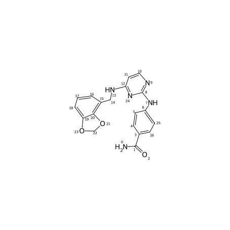 NC(=O)c1ccc(Nc2nccc(NCc3cccc4c3OCO4)n2)cc1